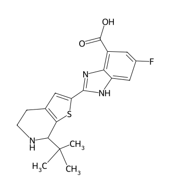 CC(C)(C)C1NCCc2cc(-c3nc4c(C(=O)O)cc(F)cc4[nH]3)sc21